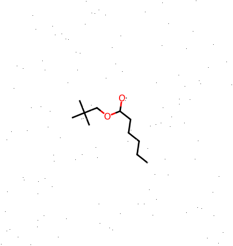 CCCCCC([O])OCC(C)(C)C